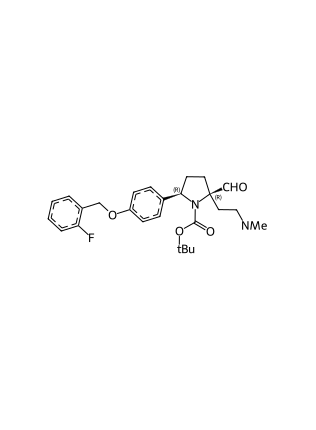 CNCC[C@@]1(C=O)CC[C@H](c2ccc(OCc3ccccc3F)cc2)N1C(=O)OC(C)(C)C